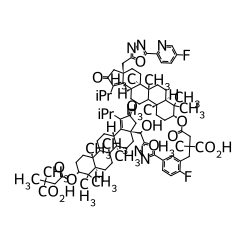 CC(C)C1=C2[C@H]3CCC4[C@@]5(C)CC[C@H](OC(=O)CC(C)(Cc6cc(-c7nnc(C(O)[C@@]89CC[C@]%10(C)[C@H](CCC%11[C@@]%12(C)CC[C@H](OC(=O)CC(C)(C)C(=O)O)C(C)(C)[C@@H]%12CC[C@]%11%10C)C8=C(C(C)C)C(=O)C9)o7)ccc6F)C(=O)O)C(C)(C)[C@@H]5CC[C@@]4(C)[C@]3(C)CC[C@@]2(Cc2nnc(-c3ccc(F)cn3)o2)CC1=O